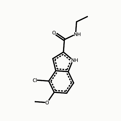 CCNC(=O)c1cc2c(Cl)c(OC)ccc2[nH]1